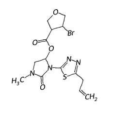 C=CCc1nnc(N2C(=O)N(C)CC2OC(=O)C2COCC2Br)s1